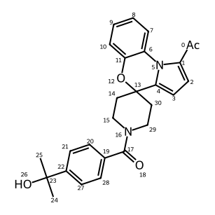 CC(=O)c1ccc2n1-c1ccccc1OC21CCN(C(=O)c2ccc(C(C)(C)O)cc2)CC1